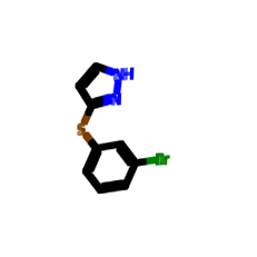 Brc1cccc(Sc2cc[nH]n2)c1